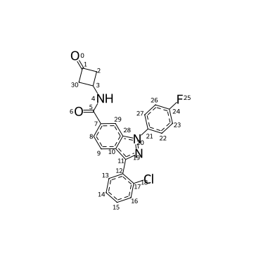 O=C1CC(NC(=O)c2ccc3c(-c4ccccc4Cl)nn(-c4ccc(F)cc4)c3c2)C1